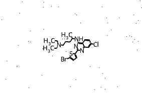 CCN(CC)CCCC(C)Nc1nc(-c2ccc(Br)s2)nc2cc(Cl)ccc12